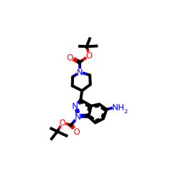 CC(C)(C)OC(=O)N1CCC(c2nn(C(=O)OC(C)(C)C)c3ccc(N)cc23)CC1